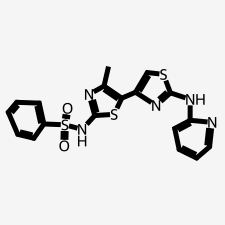 Cc1nc(NS(=O)(=O)c2ccccc2)sc1-c1csc(Nc2ccccn2)n1